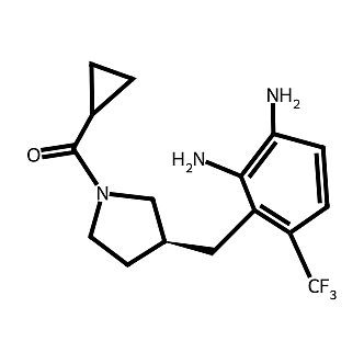 Nc1ccc(C(F)(F)F)c(C[C@H]2CCN(C(=O)C3CC3)C2)c1N